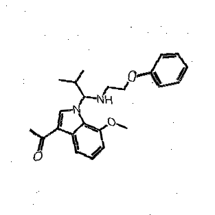 COc1cccc2c(C(C)=O)cn(C(NCCOc3ccccc3)C(C)C)c12